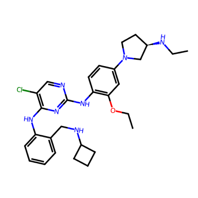 CCN[C@@H]1CCN(c2ccc(Nc3ncc(Cl)c(Nc4ccccc4CNC4CCC4)n3)c(OCC)c2)C1